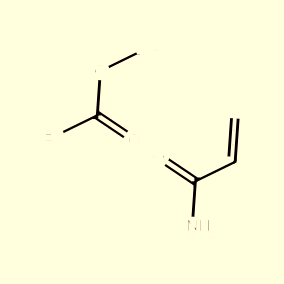 C=CC(N)=O.CCC(=O)OC(C)C